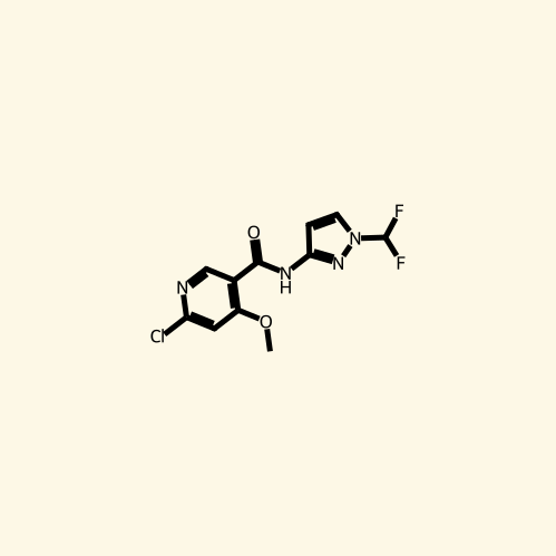 COc1cc(Cl)ncc1C(=O)Nc1ccn(C(F)F)n1